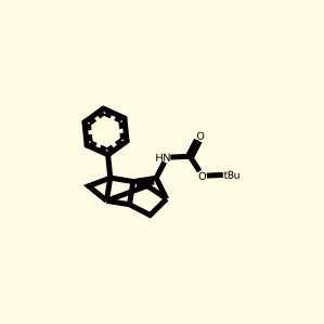 CC(C)(C)OC(=O)NC1=C2C3CC1CC31CC21c1ccccc1